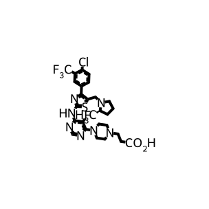 C[C@@H]1CCCN1Cc1sc(Nc2ncnc(N3CCN(CCC(=O)O)CC3)c2F)nc1-c1ccc(Cl)c(C(F)(F)F)c1